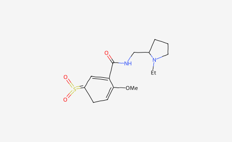 CCN1CCCC1CNC(=O)C1=CC(=S(=O)=O)CC=C1OC